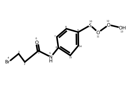 O=C(CCBr)Nc1ccc(SOOO)cc1